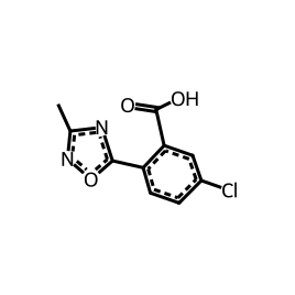 Cc1noc(-c2ccc(Cl)cc2C(=O)O)n1